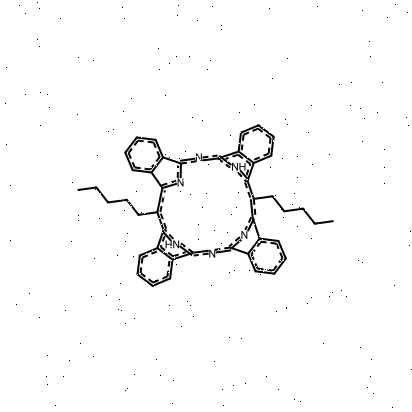 CCCCCc1c2nc(nc3[nH]c(c(CCCCC)c4nc(nc5[nH]c1c1ccccc51)-c1ccccc1-4)c1ccccc31)-c1ccccc1-2